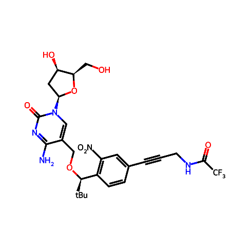 CC(C)(C)[C@@H](OCc1cn([C@H]2C[C@@H](O)[C@@H](CO)O2)c(=O)nc1N)c1ccc(C#CCNC(=O)C(F)(F)F)cc1[N+](=O)[O-]